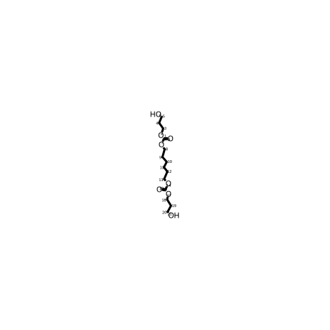 O=C(OCCCO)OCCCCCCOC(=O)OCCCO